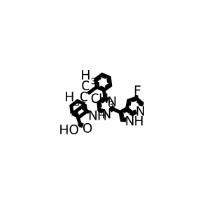 CC(C)(C)c1ccccc1-c1cc(NC2C3CCC(CC3)C2C(=O)O)nc(-c2c[nH]c3ncc(F)cc23)n1